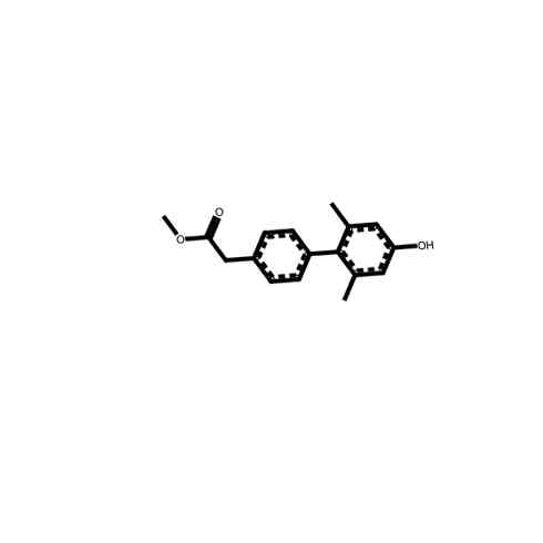 COC(=O)Cc1ccc(-c2c(C)cc(O)cc2C)cc1